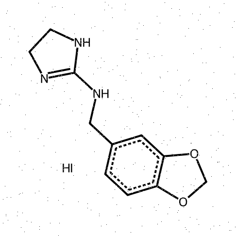 I.c1cc2c(cc1CNC1=NCCN1)OCO2